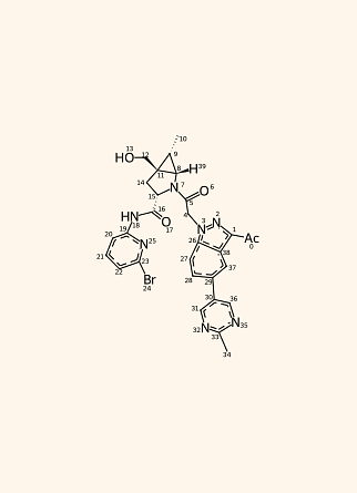 CC(=O)c1nn(CC(=O)N2[C@H]3[C@@H](C)[C@@]3(CO)C[C@H]2C(=O)Nc2cccc(Br)n2)c2ccc(-c3cnc(C)nc3)cc12